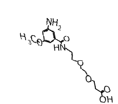 COc1cc(N)cc(C(=O)NCCOCCOCCC(=O)O)c1